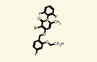 Cc1cc(OCc2ccc(F)cc2OCC(=O)O)c(Br)c(=O)n1-c1c(F)cccc1F